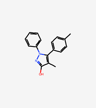 Cc1ccc(-c2c(C)c(O)nn2-c2ccccc2)cc1